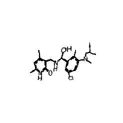 Cc1cc(C)c(CNC(O)c2cc(Cl)cc(N(C)CC(C)C)c2C)c(=O)[nH]1